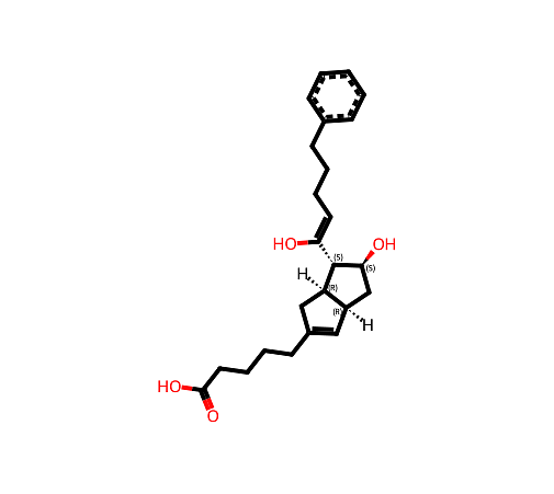 O=C(O)CCCCC1=C[C@@H]2C[C@H](O)[C@@H](C(O)=CCCCc3ccccc3)[C@@H]2C1